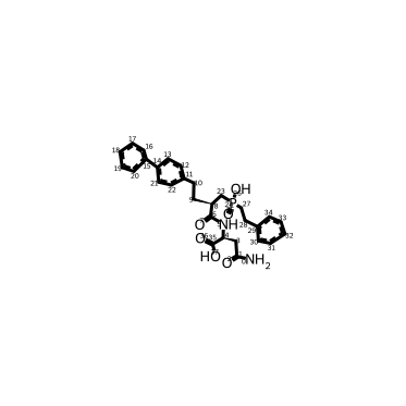 NC(=O)C[C@H](NC(=O)[C@@H](CCc1ccc(-c2ccccc2)cc1)CP(=O)(O)CCc1ccccc1)C(=O)O